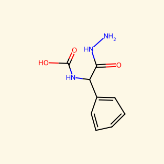 NNC(=O)C(NC(=O)O)c1ccccc1